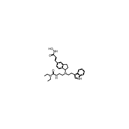 CCN(CC)C(=O)NCCN(CCc1c[nH]c2ccccc12)C1CCc2cc(C=CC(=O)NO)ccc21